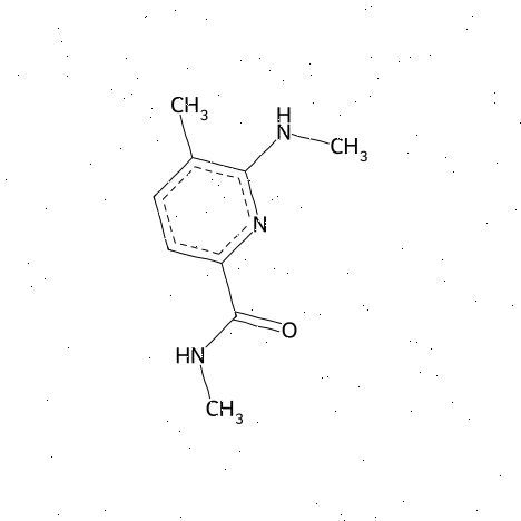 CNC(=O)c1ccc(C)c(NC)n1